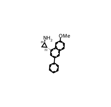 COc1ccc2cc(-c3ccccc3)cc([C@@H]3C[C@H]3N)c2c1